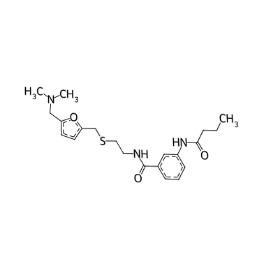 CCCC(=O)Nc1cccc(C(=O)NCCSCc2ccc(CN(C)C)o2)c1